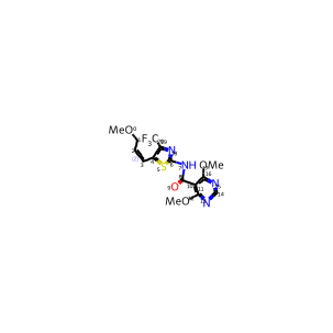 COC/C=C\c1sc(NC(=O)c2c(OC)ncnc2OC)nc1C(F)(F)F